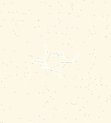 CCCC(C)/C=C(/C)C(C)N